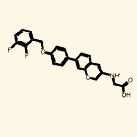 O=C(O)CNC1COc2cc(-c3ccc(OCc4cccc(F)c4F)cc3)ccc2C1